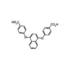 O=C(O)c1ccc(Oc2ccc(Oc3ccc(C(=O)O)cc3)c3ccccc23)cc1